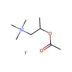 CC(=O)OC(C)C[N+](C)(C)C.[I-]